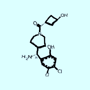 N[C@@H](c1cc(Cl)c(Cl)cc1O)C1CCN(C(=O)[C@H]2C[C@H](O)C2)CC1